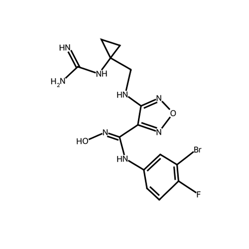 N=C(N)NC1(CNc2nonc2/C(=N/O)Nc2ccc(F)c(Br)c2)CC1